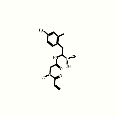 C=CC(=O)N(CC)CC(=O)NC(Cc1ccc(C(F)(F)F)cc1C)B(O)O